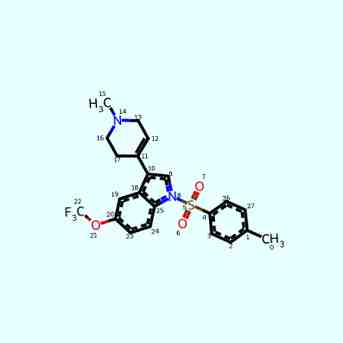 Cc1ccc(S(=O)(=O)n2cc(C3=CCN(C)CC3)c3cc(OC(F)(F)F)ccc32)cc1